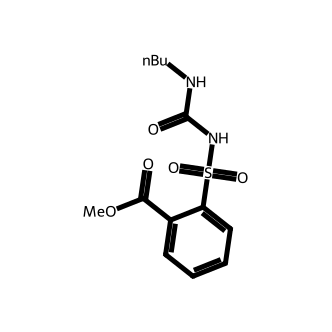 CCCCNC(=O)NS(=O)(=O)c1ccccc1C(=O)OC